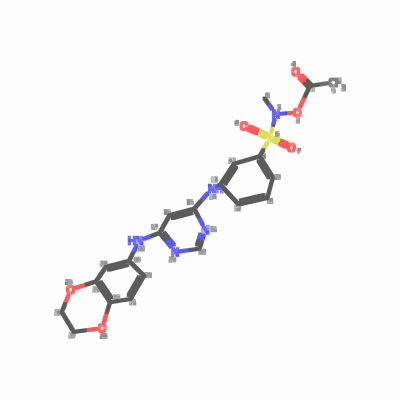 CN(OC(=O)C(F)(F)F)S(=O)(=O)c1cccc(Nc2cc(Nc3ccc4c(c3)OCCO4)ncn2)c1